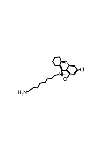 NCCCCCCCCNc1c2c(nc3cc(Cl)cc(Cl)c13)CCCC2